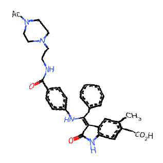 CC(=O)N1CCN(CCNC(=O)c2ccc(N/C(=C3\C(=O)Nc4cc(C(=O)O)c(C)cc43)c3ccccc3)cc2)CC1